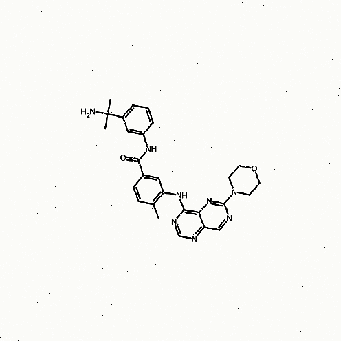 Cc1ccc(C(=O)Nc2cccc(C(C)(C)N)c2)cc1Nc1ncnc2cnc(N3CCOCC3)nc12